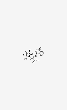 Cc1c(F)c(F)c(OC(COC(=O)c2ccccc2[N+](=O)[O-])C(=O)O)c(Cl)c1F